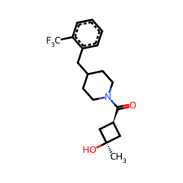 C[C@]1(O)C[C@@H](C(=O)N2CCC(Cc3ccccc3C(F)(F)F)CC2)C1